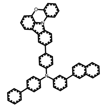 c1ccc(-c2ccc(N(c3ccc(-c4ccc5c(c4)c4cccc6c4n5-c4ccccc4O6)cc3)c3cccc(-c4ccc5ccccc5c4)c3)cc2)cc1